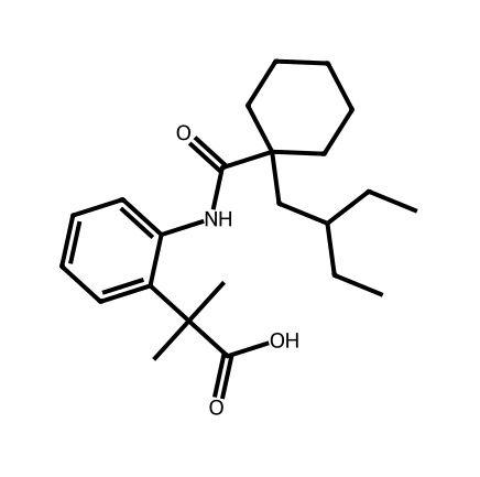 CCC(CC)CC1(C(=O)Nc2ccccc2C(C)(C)C(=O)O)CCCCC1